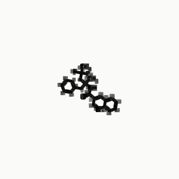 CC(F)(F)CC(C)(Cc1ccccc1)NC(=O)c1cnc2ccccc2c1